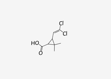 CC1(C)C(C=C(Cl)Cl)C1C(=O)O